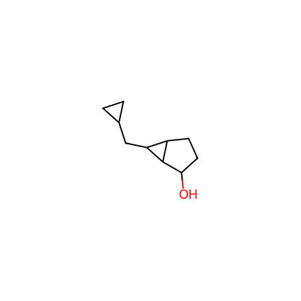 OC1CCC2C(CC3CC3)C12